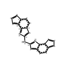 C1=Cc2c3c(ccc2=C1)=CC(NC1=Cc2ccc4c(c2=N1)=CC=C4)=N3